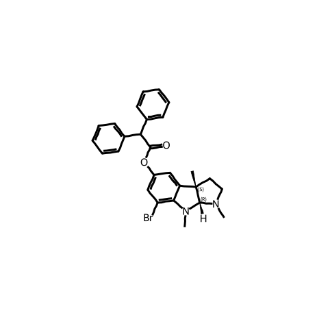 CN1CC[C@@]2(C)c3cc(OC(=O)C(c4ccccc4)c4ccccc4)cc(Br)c3N(C)[C@@H]12